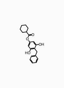 O=C(Oc1cc(O)c(Cc2ccccc2)c(O)c1)C1CCCCC1